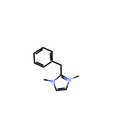 Cn1cc[n+](C)c1Cc1ccccc1